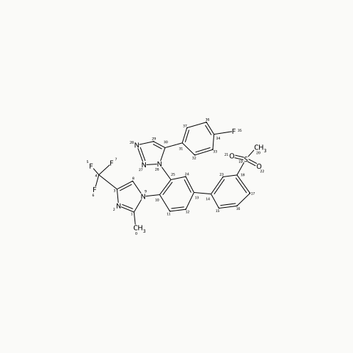 Cc1nc(C(F)(F)F)cn1-c1ccc(-c2cccc(S(C)(=O)=O)c2)cc1-n1nncc1-c1ccc(F)cc1